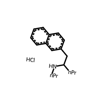 CCCNC(CCC)Cc1ccc2ccccc2c1.Cl